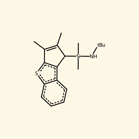 CC1=C(C)C([Si](C)(C)NC(C)(C)C)c2c1sc1ccccc21